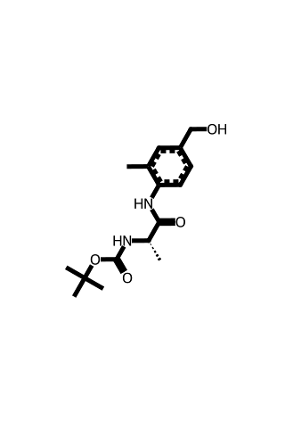 Cc1cc(CO)ccc1NC(=O)[C@H](C)NC(=O)OC(C)(C)C